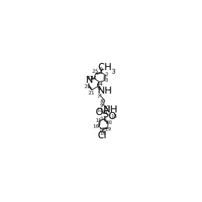 Cc1ccc2c(NCCCNS(=O)(=O)c3ccc(Cl)cc3)ccnc2c1